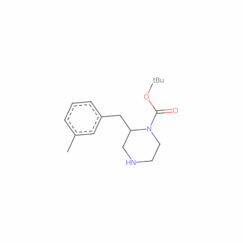 Cc1cccc(CC2CNCCN2C(=O)OC(C)(C)C)c1